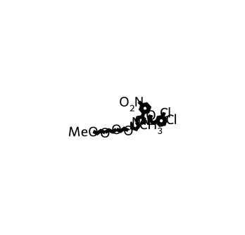 COCCOCCOCCO[C@H]1CCN(CC(c2cccc([N+](=O)[O-])c2)N(C)C(=O)Cc2ccc(Cl)c(Cl)c2)C1